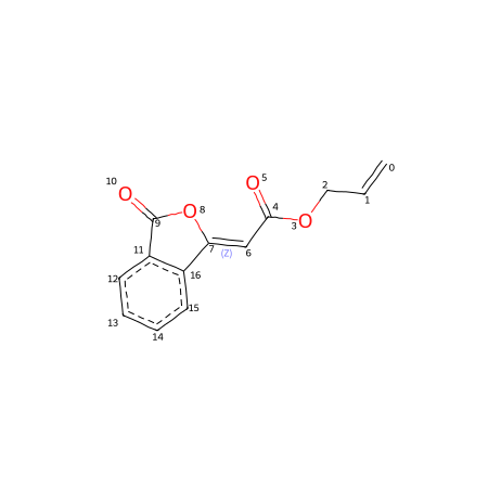 C=CCOC(=O)/C=C1\OC(=O)c2ccccc21